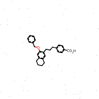 O=C(O)c1ccc(CCCc2cc3c(cc2OCc2ccccc2)CCCC3)cc1